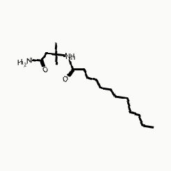 CCCCCCCCCCCC(=O)NC(C)(C)CC(N)=O